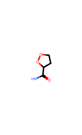 [NH]C(=O)C1CCOO1